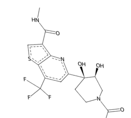 CNC(=O)c1csc2c(C(F)(F)F)cc([C@@]3(O)CCN(C(=O)O)C[C@@H]3O)nc12